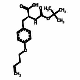 C=CCCOc1ccc(C[C@H](NC(=O)OC(C)(C)C)C(=O)O)cc1